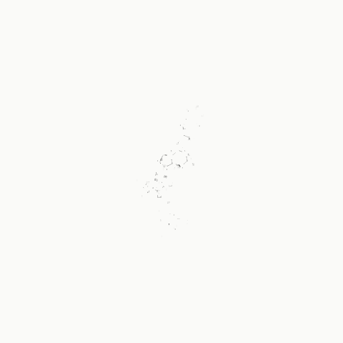 CCOP(=O)(OCC)C(C)(CS)OC[C@H]1O[C@@H](n2ncc3c(OC(=O)NC4CCCC4)nc(Cl)nc32)[C@@H]2OC(C)(C)O[C@@H]21